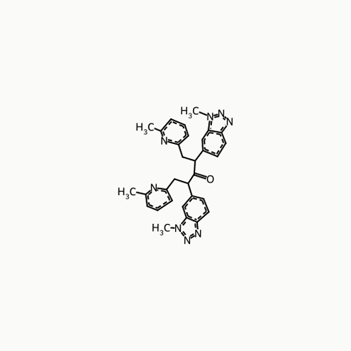 Cc1cccc(CC(C(=O)C(Cc2cccc(C)n2)c2ccc3nnn(C)c3c2)c2ccc3nnn(C)c3c2)n1